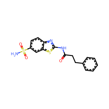 NS(=O)(=O)c1ccc2nc(NC(=O)CCc3ccccc3)sc2c1